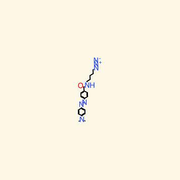 CN(C)c1ccc(/N=N/c2ccc(C(=O)NCCCCCN=[N+]=[N-])cc2)cc1